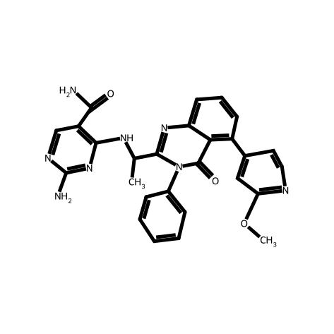 COc1cc(-c2cccc3nc(C(C)Nc4nc(N)ncc4C(N)=O)n(-c4ccccc4)c(=O)c23)ccn1